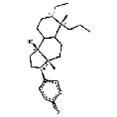 CCC[C@]1(C)C2CC[C@]3(C)[C@@H](c4ccc(=O)oc4)CC[C@]3(O)C2CC[C@@H]1CC